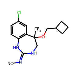 N#C/N=C1/NCC(OCC2CCC2)(C(F)(F)F)c2cc(Cl)ccc2N1